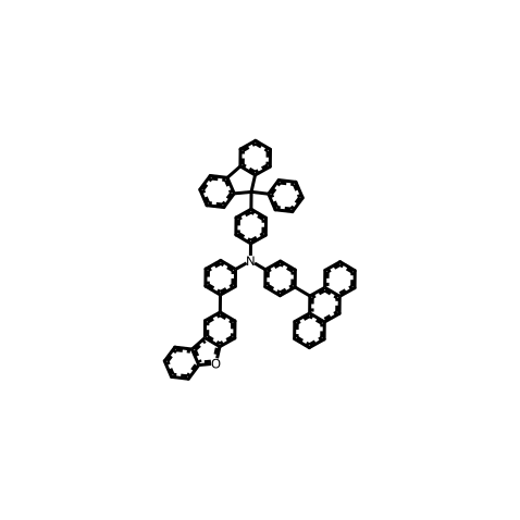 c1ccc(C2(c3ccc(N(c4ccc(-c5c6ccccc6cc6ccccc56)cc4)c4cccc(-c5ccc6oc7ccccc7c6c5)c4)cc3)c3ccccc3-c3ccccc32)cc1